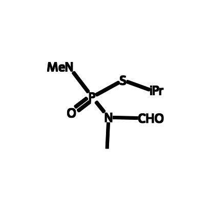 CNP(=O)(SC(C)C)N(C)C=O